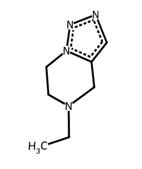 CCN1CCn2nncc2C1